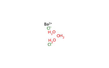 O.O.O.[Ba+2].[Cl-].[Cl-]